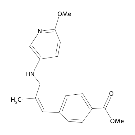 COC(=O)c1ccc(C=C(C)CNc2ccc(OC)nc2)cc1